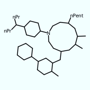 CCCCCC1CCN(C2CCC(C(CCC)CCC)CC2)CCC(CC2CC(C3CCCCC3)CCC2C)CC(C)C(C)C1